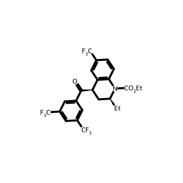 CCOC(=O)N1c2ccc(C(F)(F)F)cc2[C@H](C(=O)c2cc(C(F)(F)F)cc(C(F)(F)F)c2)C[C@@H]1CC